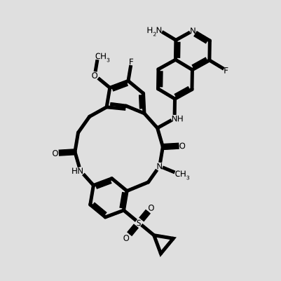 COc1c(F)cc2cc1CCC(=O)Nc1ccc(S(=O)(=O)C3CC3)c(c1)CN(C)C(=O)C2Nc1ccc2c(N)ncc(F)c2c1